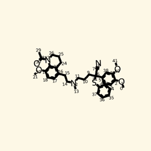 COc1ccc(C(C#N)(CCCN(C)CCc2ccc(OC)c3c2CCCN3C(C)=O)Sc2ccccc2)cc1OC